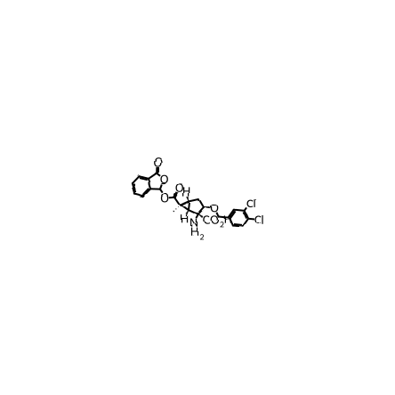 C[C@]1(C(=O)OC2OC(=O)c3ccccc32)[C@@H]2C[C@@H](OCc3ccc(Cl)c(Cl)c3)[C@@](N)(C(=O)O)[C@@H]21